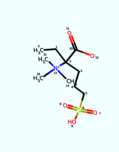 CCC(CCCS(=O)(=O)O)(C(=O)[O-])[N+](C)(C)C